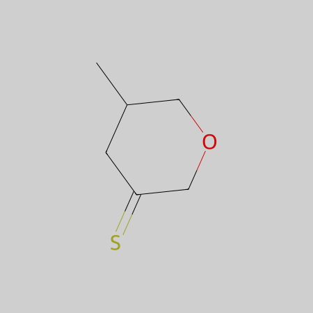 CC1COCC(=S)C1